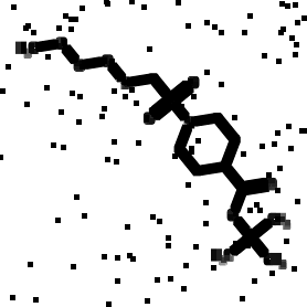 COOOSCS(=O)(=O)N1CCC(C(=O)OC(C)(C)C)CC1